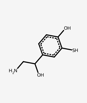 NCC(O)c1ccc(O)c(S)c1